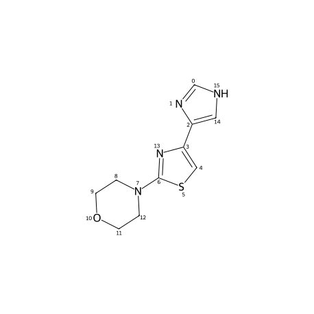 c1nc(-c2csc(N3CCOCC3)n2)c[nH]1